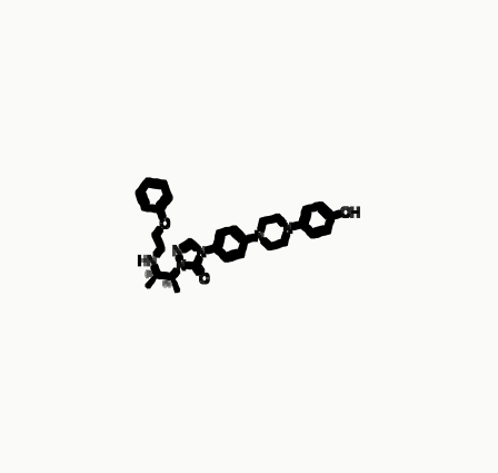 C[C@@H](NCCOc1ccccc1)[C@H](C)n1ncn(-c2ccc(N3CCN(c4ccc(O)cc4)CC3)cc2)c1=O